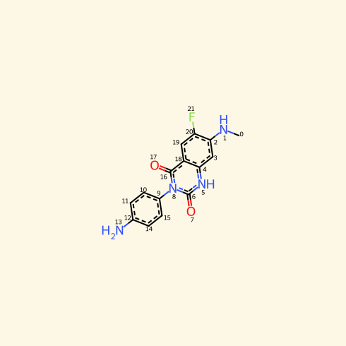 CNc1cc2[nH]c(=O)n(-c3ccc(N)cc3)c(=O)c2cc1F